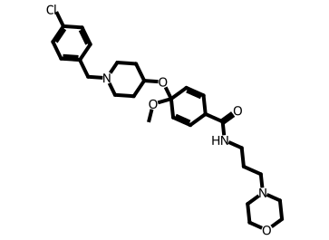 COC1(OC2CCN(Cc3ccc(Cl)cc3)CC2)C=CC(C(=O)NCCCN2CCOCC2)C=C1